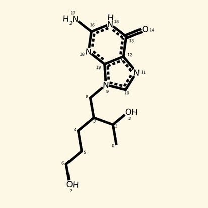 CC(O)C(CCCO)Cn1cnc2c(=O)[nH]c(N)nc21